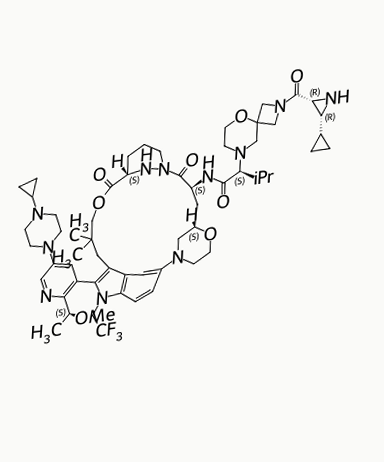 CO[C@@H](C)c1ncc(N2CCN(C3CC3)CC2)cc1-c1c2c3cc(ccc3n1CC(F)(F)F)N1CCO[C@@H](C[C@H](NC(=O)[C@H](C(C)C)N3CCOC4(CN(C(=O)[C@@H]5N[C@@H]5C5CC5)C4)C3)C(=O)N3CCC[C@H](N3)C(=O)OCC(C)(C)C2)C1